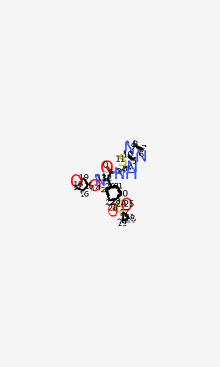 O=C(Nc1nc2nccnc2s1)/C(=N/O[C@@H]1CCOC1)c1ccc(S(=O)(=O)C2CC2)cc1